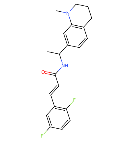 CC(NC(=O)/C=C/c1cc(F)ccc1F)c1ccc2c(c1)N(C)CCC2